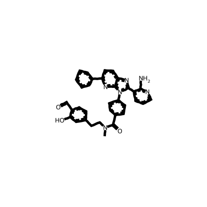 CN(CCc1ccc(C=O)c(O)c1)C(=O)c1ccc(-n2c(-c3cccnc3N)nc3ccc(-c4ccccc4)nc32)cc1